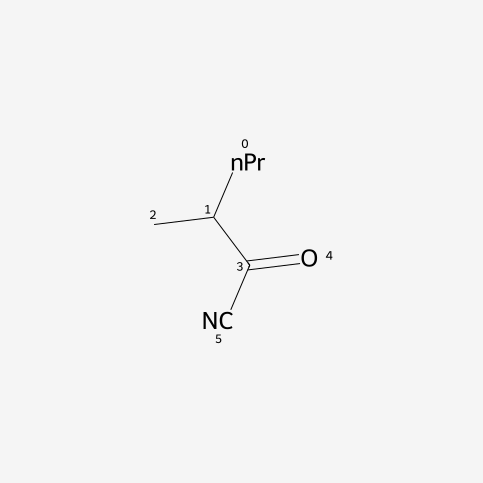 CCCC(C)C(=O)C#N